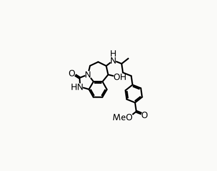 COC(=O)c1ccc(CCC(C)NC2CCn3c(=O)[nH]c4cccc(c43)C2O)cc1